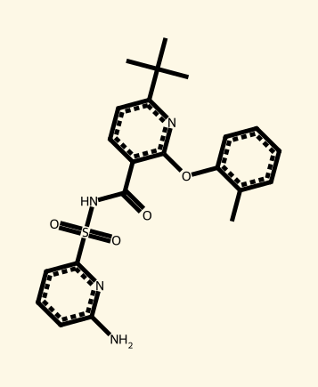 Cc1ccccc1Oc1nc(C(C)(C)C)ccc1C(=O)NS(=O)(=O)c1cccc(N)n1